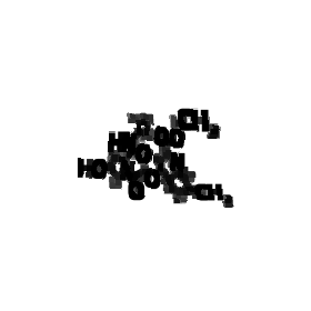 CCOC(=O)c1cc(OCC(=O)N2C[C@@H](O)C[C@H]2C(=O)NC2CCC2)c2ccc(C)cc2n1